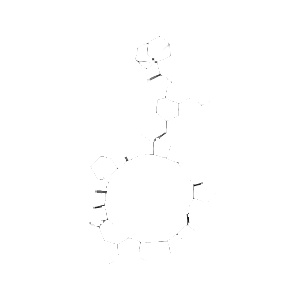 CCOC1CC(C=C(C)C2OC(=O)C3CCCCN3C(=O)C(=O)C3(O)OC(C(OC)CC(C)C(F)/C(C)=C/C(CC)C(=O)CC(O)C2C)C(OC)CC3C)CCC1NC(=O)C12CC3CC(CC(C3)C1)C2